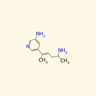 CC(=CCC(C)N)c1cncc(N)c1